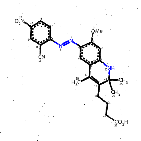 COc1cc2c(cc1/N=N/c1ccc([N+](=O)[O-])cc1C#N)C(C)=C(CCCC(=O)O)C(C)(C)N2